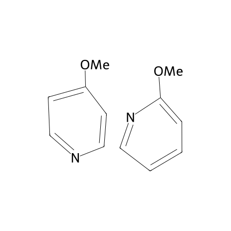 COc1ccccn1.COc1ccncc1